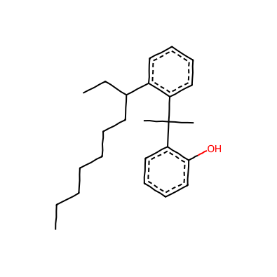 CCCCCCCC(CC)c1ccccc1C(C)(C)c1ccccc1O